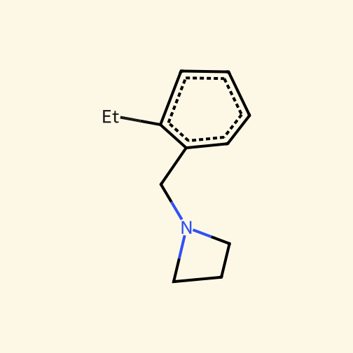 CCc1ccccc1CN1CCC1